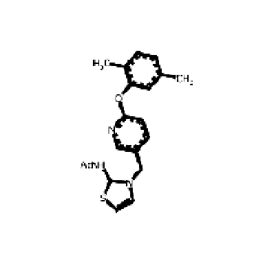 CC(=O)NC1SC=CN1Cc1ccc(Oc2cc(C)ccc2C)nc1